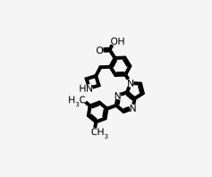 Cc1cc(C)cc(-c2cnc3ccn(-c4ccc(C(=O)O)c(CC5CNC5)c4)c3n2)c1